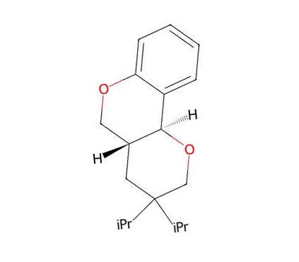 CC(C)C1(C(C)C)CO[C@@H]2c3ccccc3OC[C@H]2C1